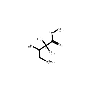 CCCCCCCCC(CCC)C(C)(C)C(=O)O[SiH3]